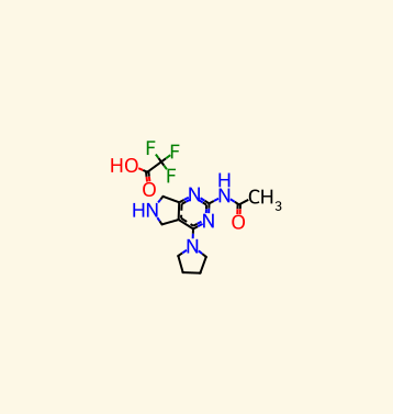 CC(=O)Nc1nc2c(c(N3CCCC3)n1)CNC2.O=C(O)C(F)(F)F